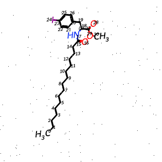 CCCCCCCCCCCCCCCC(=O)N[C@@H](Cc1ccc(I)cc1)C(=O)OC